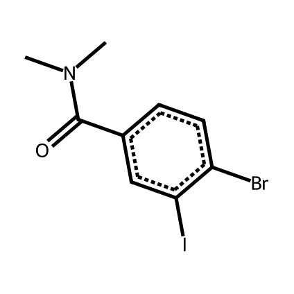 CN(C)C(=O)c1ccc(Br)c(I)c1